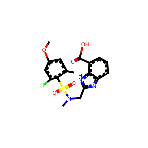 COc1cc(C)c(S(=O)(=O)N(C)Cc2nc3cccc(C(=O)O)c3[nH]2)c(Cl)c1